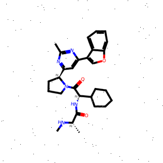 CN[C@@H](C)C(=O)N[C@H](C(=O)N1CCC[C@H]1c1cc(-c2coc3ccccc23)nc(C)n1)C1CCCCC1